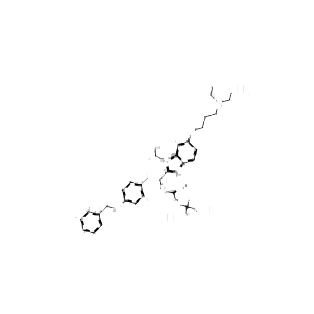 CCN(CC)CCCOc1ccc2nc([C@@H](Cc3ccc(OCc4ccccc4)cc3)NC(=O)OC(C)(C)C)n(CC)c2c1